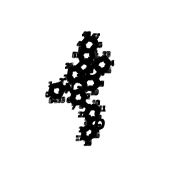 c1ccc(N(c2ccc(-c3ccc4oc5ccccc5c4c3)cc2)c2ccc3c(c2)C2(c4ccccc4-c4ccccc42)c2cc4ccccc4cc2-3)cc1